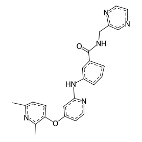 Cc1ccc(Oc2ccnc(Nc3cccc(C(=O)NCc4cnccn4)c3)c2)c(C)n1